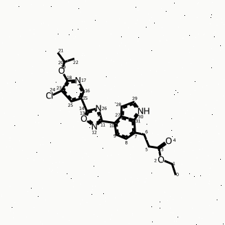 CCOC(=O)CCc1ccc(-c2noc(-c3cnc(OC(C)C)c(Cl)c3)n2)c2cc[nH]c12